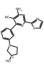 N#Cc1c(N)cc(-c2nccs2)nc1-c1cccc(N2CC[C@@H](O)C2)c1